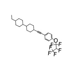 CCC1CCC(C2CCC(C#Cc3ccc(OC(F)(F)C(F)C(F)(F)F)cc3)CC2)CC1